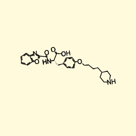 O=C(N[C@@H](Cc1ccc(OCCCCC2CCNCC2)cc1)C(=O)O)c1nc2ccccc2o1